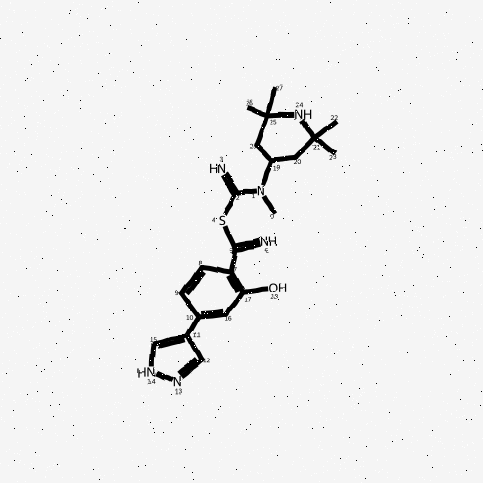 CN(C(=N)SC(=N)c1ccc(-c2cn[nH]c2)cc1O)C1CC(C)(C)NC(C)(C)C1